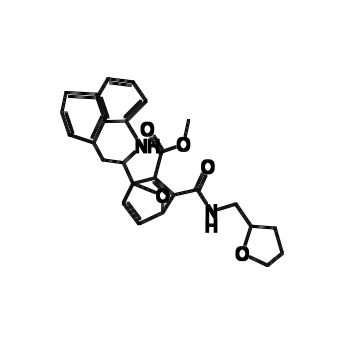 COC(=O)C1=C(C(=O)NCC2CCCO2)C2C=CC1(C(Cc1ccccc1)Nc1ccccc1)O2